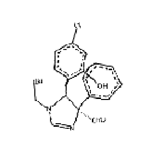 CC(C)(C)CN1C=N[C@](C=O)(c2ccccc2)[C@@H]1c1ccc(Cl)cc1O